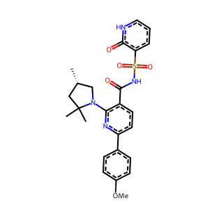 COc1ccc(-c2ccc(C(=O)NS(=O)(=O)c3ccc[nH]c3=O)c(N3C[C@@H](C)CC3(C)C)n2)cc1